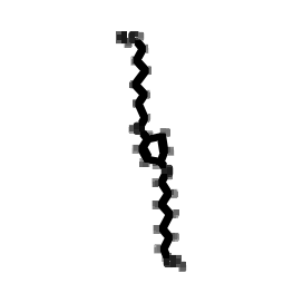 CCCCCCCCOC1C=CC(OCCCCCCCC)C=C1